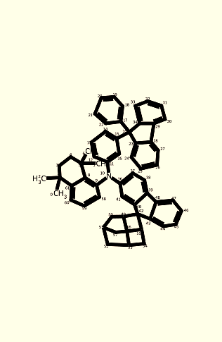 CC1(C)CCC(C)(C)c2c(N(c3cccc(C4(c5ccccc5)c5ccccc5-c5ccccc54)c3)c3ccc4c(c3)C3(c5ccccc5-4)C4CC5CC6CC3C64C5)cccc21